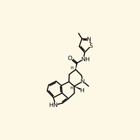 Cc1cc(NC(=O)[C@@H]2CC3c4cccc5[nH]cc(c45)C[C@H]3N(C)C2)sn1